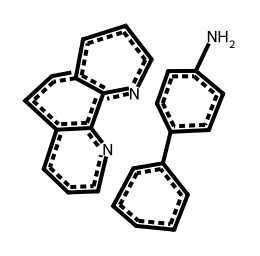 Nc1ccc(-c2ccccc2)cc1.c1cnc2c(c1)ccc1cccnc12